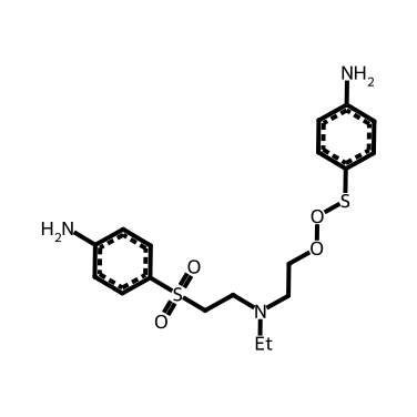 CCN(CCOOSc1ccc(N)cc1)CCS(=O)(=O)c1ccc(N)cc1